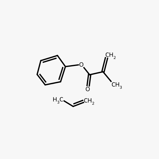 C=C(C)C(=O)Oc1ccccc1.C=CC